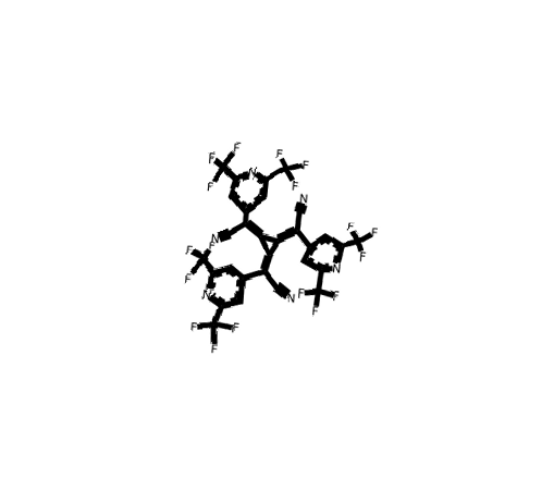 N#CC(=C1C(=C(C#N)c2cc(C(F)(F)F)nc(C(F)(F)F)c2)C1=C(C#N)c1cc(C(F)(F)F)nc(C(F)(F)F)c1)c1cc(C(F)(F)F)nc(C(F)(F)F)c1